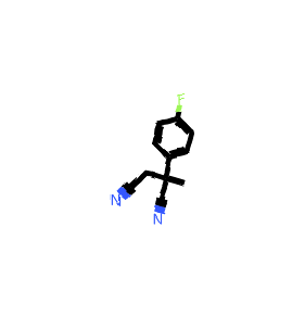 CC(C#N)(CC#N)c1ccc(F)cc1